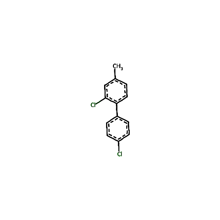 Cc1ccc(-c2ccc(Cl)cc2)c(Cl)c1